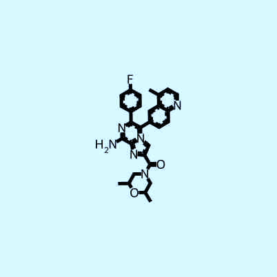 Cc1ccnc2ccc(-c3c(-c4ccc(F)cc4)nc(N)c4nc(C(=O)N5CC(C)OC(C)C5)cn34)cc12